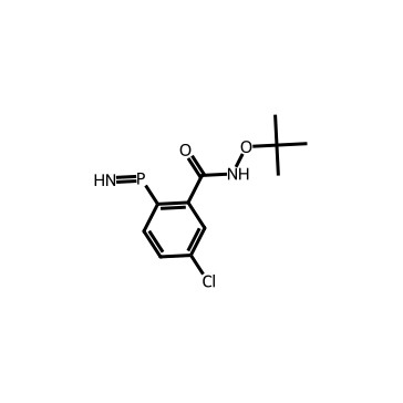 CC(C)(C)ONC(=O)c1cc(Cl)ccc1P=N